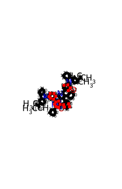 CC(C)(C)c1ccc2c(c1)c1ccccc1n2-c1ccc(-c2nc(-c3ccc(-n4c5ccccc5c5cc(C(C)(C)C)ccc54)cc3)c(-c3cccc4oc5ccccc5c34)c(-c3ccccc3-c3nc(-c4ccccc4)nc(-c4ccccc4)n3)c2-c2cccc3oc4ccccc4c23)cc1